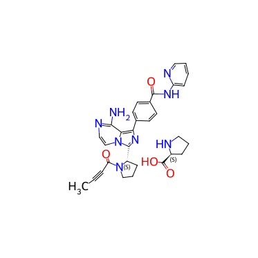 CC#CC(=O)N1CCC[C@H]1c1nc(-c2ccc(C(=O)Nc3ccccn3)cc2)c2c(N)nccn12.O=C(O)[C@@H]1CCCN1